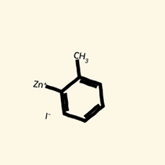 Cc1cccc[c]1[Zn+].[I-]